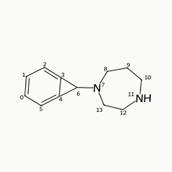 c1ccc2c(c1)C2N1CCCNCC1